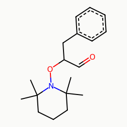 CC1(C)CCCC(C)(C)N1OC(C=O)Cc1ccccc1